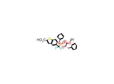 CC(C)OC(=O)[C@H](Cc1ccccc1)OP(=O)(Oc1ccccc1)C(F)(F)c1ccc2sc(C(=O)O)cc2c1